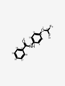 O=C(Nc1ccc(OC(F)F)cc1)c1ccccc1